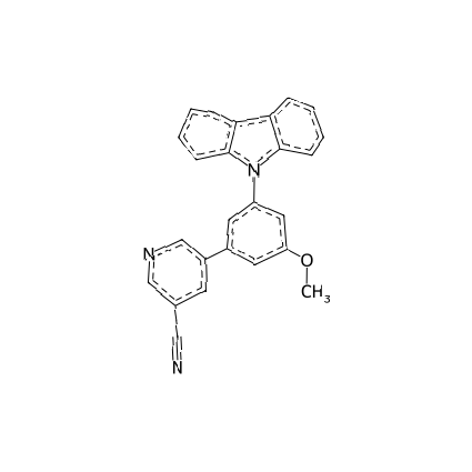 COc1cc(-c2cncc(C#N)c2)cc(-n2c3ccccc3c3ccccc32)c1